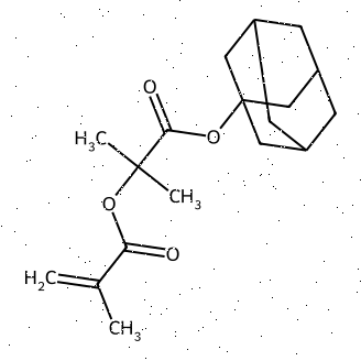 C=C(C)C(=O)OC(C)(C)C(=O)OC12CC3CC(CC(C3)C1)C2